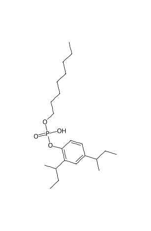 CCCCCCCCOP(=O)(O)Oc1ccc(C(C)CC)cc1C(C)CC